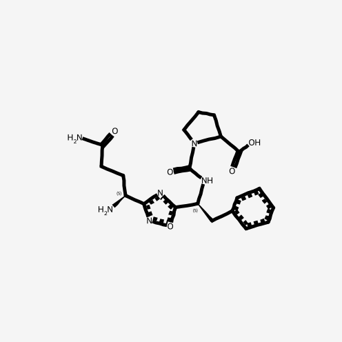 NC(=O)CC[C@H](N)c1noc([C@H](Cc2ccccc2)NC(=O)N2CCCC2C(=O)O)n1